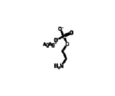 NCCOP(=O)([O-])[O-].[Ag+].[Ag+]